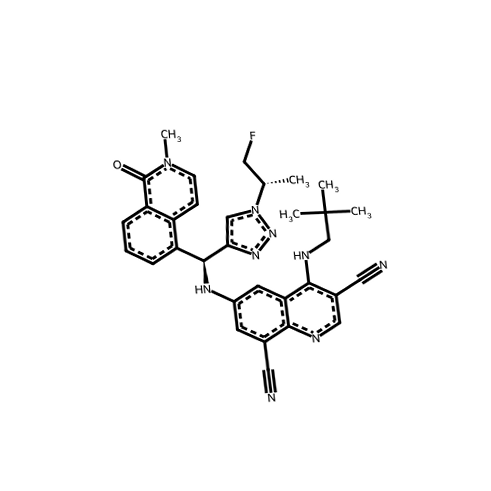 C[C@@H](CF)n1cc([C@@H](Nc2cc(C#N)c3ncc(C#N)c(NCC(C)(C)C)c3c2)c2cccc3c(=O)n(C)ccc23)nn1